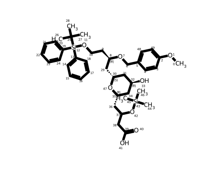 COc1ccc(CO[C@H](CCO[Si](c2ccccc2)(c2ccccc2)C(C)(C)C)C[C@@H]2C[C@@H](O)C[C@H](CC(CC(=O)O)O[Si](C)(C)C)O2)cc1